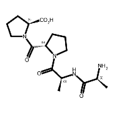 C[C@H](N)C(=O)N[C@@H](C)C(=O)N1CCC[C@H]1C(=O)N1CCC[C@H]1C(=O)O